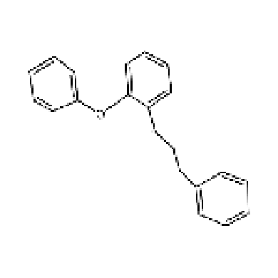 [CH](CCc1ccccc1)c1ccccc1Oc1ccccc1